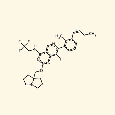 CC/C=C\c1cccc(-c2ncc3c(NCC(F)(F)F)nc(OCC45CCCN4CCC5)nc3c2F)c1C